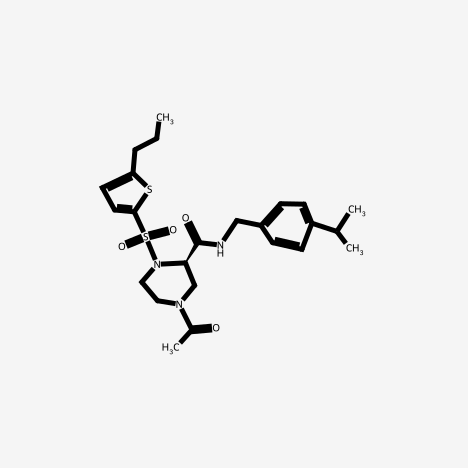 CCCc1ccc(S(=O)(=O)N2CCN(C(C)=O)C[C@@H]2C(=O)NCc2ccc(C(C)C)cc2)s1